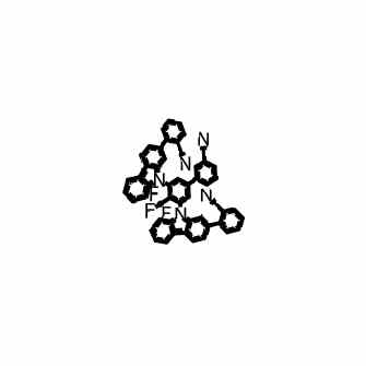 N#Cc1cccc(-c2cc(-n3c4ccccc4c4ccc(-c5ccccc5C#N)cc43)c(C(F)(F)F)c(-n3c4ccccc4c4ccc(-c5ccccc5C#N)cc43)c2)c1